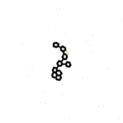 c1ccc(-c2ccc3sc4ccc(-c5ccc(-c6ccc7ccc8cccc9ccc6c7c89)cc5-c5ccccc5)cc4c3c2)cc1